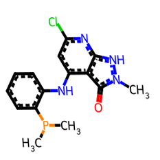 Cn1[nH]c2nc(Cl)cc(Nc3ccccc3P(C)C)c2c1=O